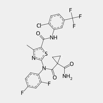 Cc1nc(N(C(=O)C2(C(N)=O)CC2)c2ccc(F)cc2F)sc1C(=O)Nc1cc(C(F)(F)F)ccc1Cl